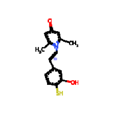 Cc1cc(=O)cc(C)n1/C=C/c1ccc(S)c(O)c1